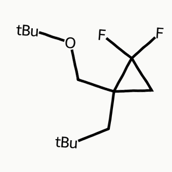 CC(C)(C)CC1(COC(C)(C)C)CC1(F)F